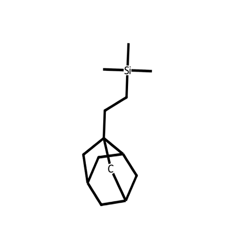 C[Si](C)(C)CCC12CC3CC(CC1C3)C2